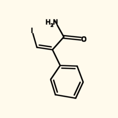 NC(=O)C(=CI)c1ccccc1